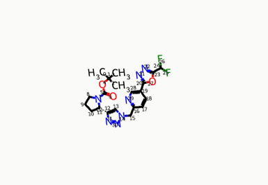 CC(C)(C)OC(=O)N1CCC[C@H]1c1cn(Cc2ccc(-c3nnc(C(F)F)o3)cn2)nn1